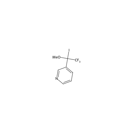 COC(I)(c1cccnc1)C(F)(F)F